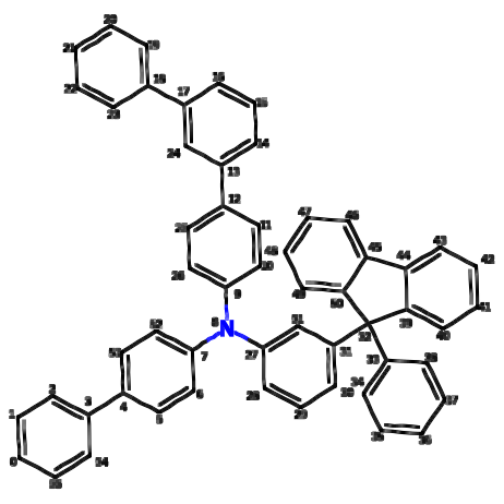 c1ccc(-c2ccc(N(c3ccc(-c4cccc(-c5ccccc5)c4)cc3)c3cccc(C4(c5ccccc5)c5ccccc5-c5ccccc54)c3)cc2)cc1